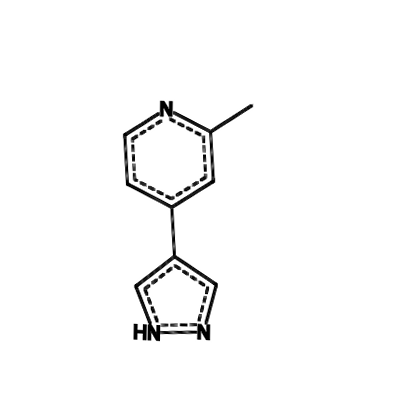 Cc1cc(-c2cn[nH]c2)ccn1